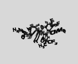 COc1c([C@@H]2C[C@](C)(C(F)(F)F)OC2C(=O)Nc2ccnc(C(N)=O)c2)ccc(F)c1F